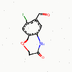 O=Cc1cc2c(cc1F)OCC(=O)N2